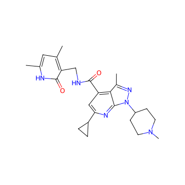 Cc1cc(C)c(CNC(=O)c2cc(C3CC3)nc3c2c(C)nn3C2CCN(C)CC2)c(=O)[nH]1